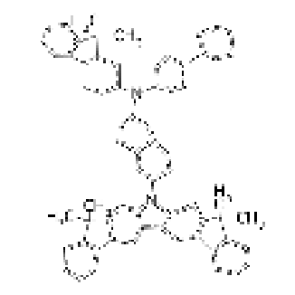 CC1(C)c2ccccc2-c2ccc(N(c3ccc(-c4ccccc4)cc3)c3ccc4cc(-n5c6cc7c(cc6c6cc8c(cc65)C(C)(C)c5ccccc5-8)-c5ccccc5C7(C)C)ccc4c3)cc21